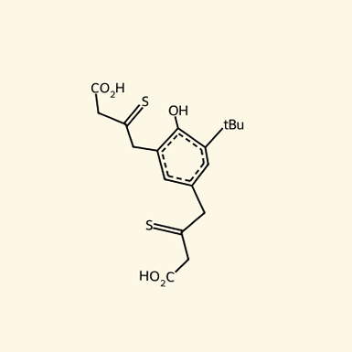 CC(C)(C)c1cc(CC(=S)CC(=O)O)cc(CC(=S)CC(=O)O)c1O